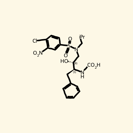 CC(C)CN(C[C@@H](O)[C@H](Cc1ccccc1)NC(=O)O)S(=O)(=O)c1ccc(Cl)c([N+](=O)[O-])c1